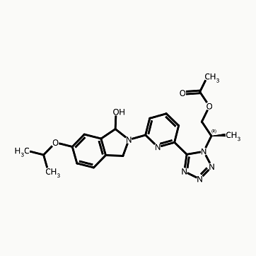 CC(=O)OC[C@@H](C)n1nnnc1-c1cccc(N2Cc3ccc(OC(C)C)cc3C2O)n1